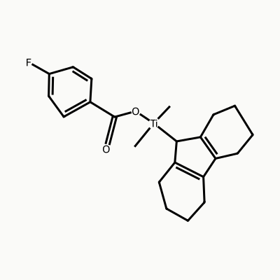 [CH3][Ti]([CH3])([O]C(=O)c1ccc(F)cc1)[CH]1C2=C(CCCC2)C2=C1CCCC2